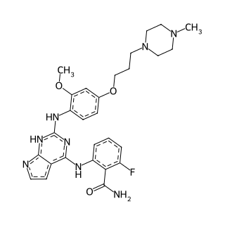 COc1cc(OCCCN2CCN(C)CC2)ccc1Nc1nc(Nc2cccc(F)c2C(N)=O)c2ccnc-2[nH]1